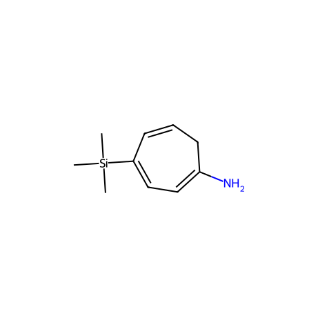 C[Si](C)(C)C1=CC=C(N)CC=C1